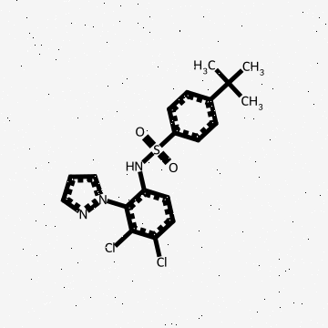 CC(C)(C)c1ccc(S(=O)(=O)Nc2ccc(Cl)c(Cl)c2-n2cccn2)cc1